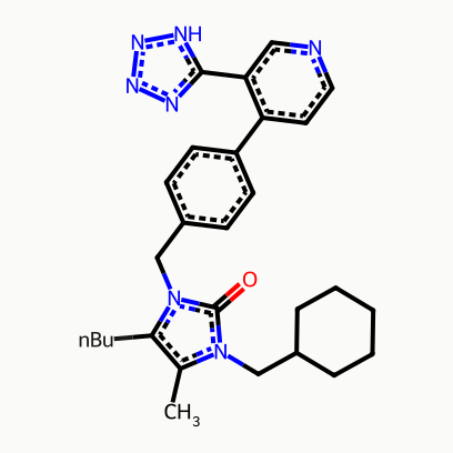 CCCCc1c(C)n(CC2CCCCC2)c(=O)n1Cc1ccc(-c2ccncc2-c2nnn[nH]2)cc1